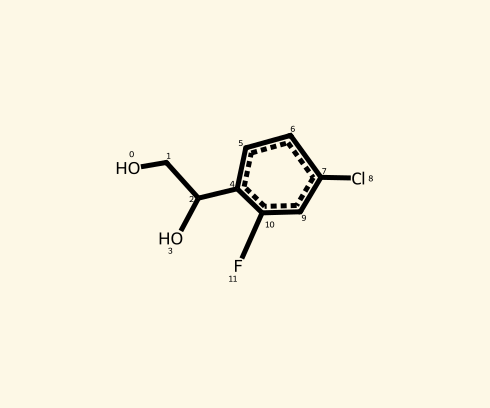 OCC(O)c1ccc(Cl)cc1F